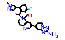 CC(c1cc(F)ccc1-c1cnn(C)c1)N1CCc2ncc(-c3ccn4nc(N)nc4c3)cc2C1C=O